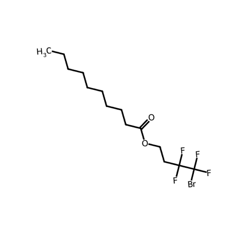 CCCCCCCCCC(=O)OCCC(F)(F)C(F)(F)Br